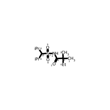 CCC(C)(C)C(=O)NS(=O)(=O)C(C(C)C)C(C)C